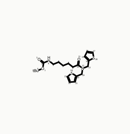 CC(C)(C)OC(=O)NCCCCCC(=O)N(Cc1cccs1)Cc1cccs1